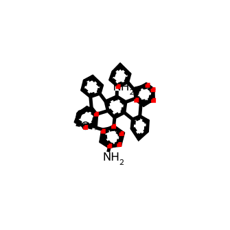 Nc1ccc(-c2c(-c3ccccc3-c3ccccc3)c(-c3ccccc3-c3ccccc3)c(N)c(-c3ccccc3-c3ccccc3)c2-c2ccccc2-c2ccccc2)cc1